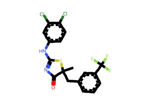 CC1(Cc2cccc(C(F)(F)F)c2)SC(Nc2ccc(Cl)c(Cl)c2)=NC1=O